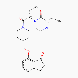 CC(C)C[C@@H]1NCCN([C@@H](CC(C)C)C(=O)N2CCC(COc3cccc4c3C(=O)CC4)CC2)C1=O